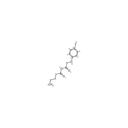 [CH2]CCCC(=O)OC(=O)COc1ccc(F)cc1